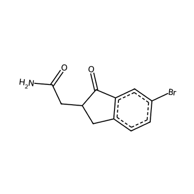 NC(=O)CC1Cc2ccc(Br)cc2C1=O